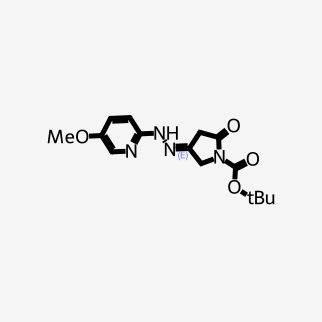 COc1ccc(N/N=C2\CC(=O)N(C(=O)OC(C)(C)C)C2)nc1